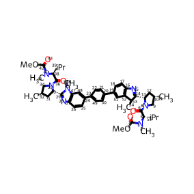 COC(=O)N(C)[C@H](C(=O)N1C[C@@H](C)C[C@H]1C1=Nc2ccc(-c3ccc(-c4ccc5nc([C@@H]6C[C@H](C)CN6C(=O)[C@H](C(C)C)N(C)C(=O)OC)n(C)c5c4)cc3)cc2C1C)C(C)C